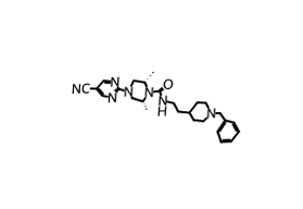 C[C@@H]1CN(c2ncc(C#N)cn2)C[C@H](C)N1C(=O)NCCC1CCN(Cc2ccccc2)CC1